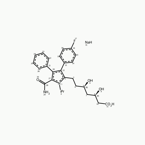 CC(C)n1c(CC[C@@H](O)C[C@@H](O)CC(=O)O)c(-c2ccc(F)cc2)c(-c2ccccn2)c1C(N)=O.[NaH]